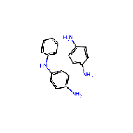 Nc1ccc(N)cc1.Nc1ccc(Nc2ccccc2)cc1